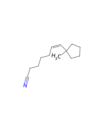 CC1(/C=C\CCCCC#N)CCCC1